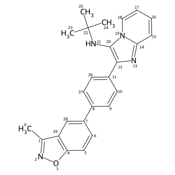 Cc1noc2ccc(-c3ccc(-c4nc5ccccn5c4NC(C)(C)C)cc3)cc12